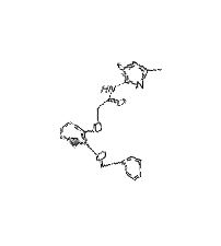 Cc1csc(NC(=O)COc2ccccc2OCc2ccccc2)n1